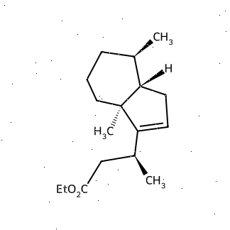 CCOC(=O)C[C@H](C)C1=CC[C@H]2[C@H](C)CCC[C@]12C